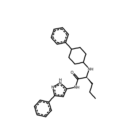 CCC[C@H](NC1CCC(c2ccccc2)CC1)C(=O)Nc1cc(-c2ccccc2)n[nH]1